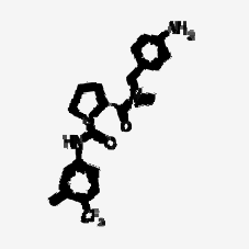 Cc1cc(NC(=O)N2CCC[C@@H]2C(=O)N(C)Cc2ccc(N)cc2)ccc1C(F)(F)F